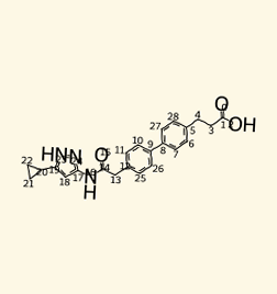 O=C(O)CCc1ccc(-c2ccc(CC(=O)Nc3cc(C4CC4)[nH]n3)cc2)cc1